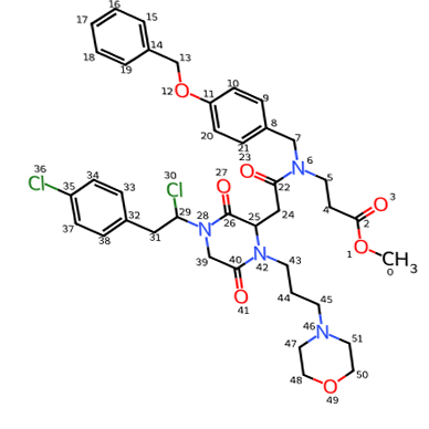 COC(=O)CCN(Cc1ccc(OCc2ccccc2)cc1)C(=O)CC1C(=O)N(C(Cl)Cc2ccc(Cl)cc2)CC(=O)N1CCCN1CCOCC1